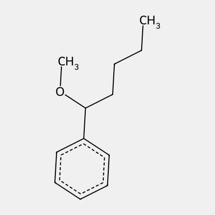 CCCCC(OC)c1ccccc1